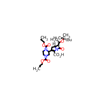 C=CCOC(=O)N1CCN(C(=O)OCC=C)C(C2=C(C(=O)O)N3C(=O)[C@H]([C@@H](C)O[Si](C)(C)C(C)(C)C)[C@H]3C2)C1